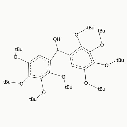 CC(C)(C)Oc1cc(C(O)c2cc(OC(C)(C)C)c(OC(C)(C)C)c(OC(C)(C)C)c2OC(C)(C)C)c(OC(C)(C)C)c(OC(C)(C)C)c1OC(C)(C)C